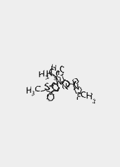 CCCN(c1ccc2c(c1)SC(CC)C2=O)c1ncc(C(=O)N2CCC(C)(F)CC2)cc1C(C)CC